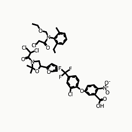 CC1(C)OC(c2ccco2)CN1C(=O)C(Cl)Cl.CCOCN(C(=O)CCl)c1c(C)cccc1CC.O=C(O)c1cc(Oc2ccc(C(F)(F)F)cc2Cl)ccc1[N+](=O)[O-]